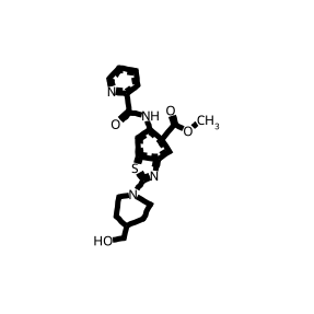 COC(=O)c1cc2nc(N3CCC(CO)CC3)sc2cc1NC(=O)c1ccccn1